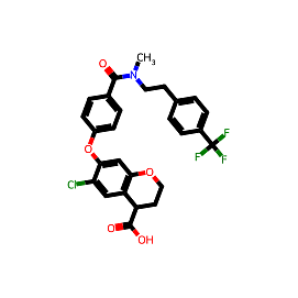 CN(CCc1ccc(C(F)(F)F)cc1)C(=O)c1ccc(Oc2cc3c(cc2Cl)C(C(=O)O)CCO3)cc1